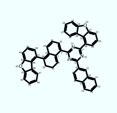 C1=c2c(-c3nc(-c4ccc5ccccc5c4)nc(-c4cccc5oc6ccccc6c45)n3)cccc2=C(c2cccc3oc4ccccc4c23)CC1